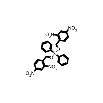 O=[N+]([O-])c1ccc(CO[Si](OCc2ccc([N+](=O)[O-])cc2[N+](=O)[O-])(c2ccccc2)c2ccccc2)c([N+](=O)[O-])c1